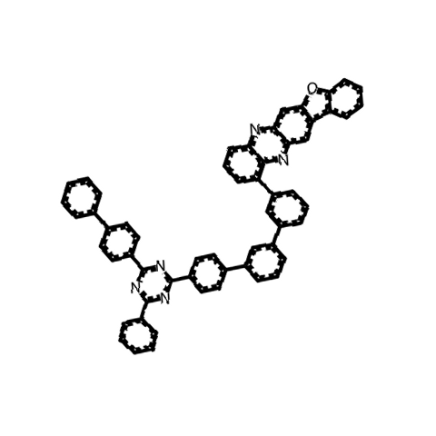 c1ccc(-c2ccc(-c3nc(-c4ccccc4)nc(-c4ccc(-c5cccc(-c6cccc(-c7cccc8nc9cc%10oc%11ccccc%11c%10cc9nc78)c6)c5)cc4)n3)cc2)cc1